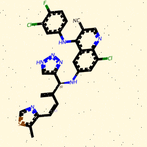 C=C(/C=C\c1ncsc1C)[C@H](Nc1cc(Cl)c2ncc(C#N)c(Nc3ccc(F)c(Cl)c3)c2c1)c1c[nH]nn1